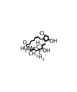 COC(=O)CCC/C=C\C[C@@H]1[C@@H](/C=C/[C@@H](O)C(C)(C)CC=C(C)C)[C@H](O)C[C@H]1Cl